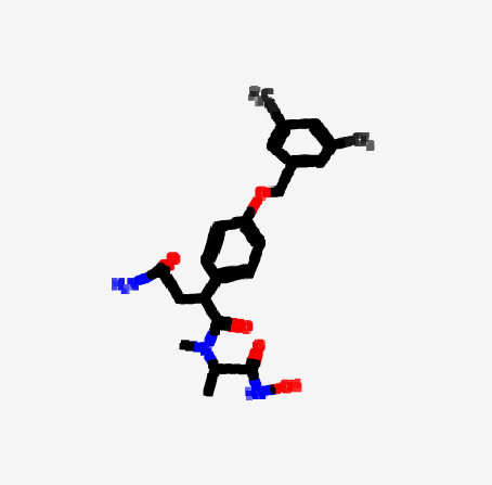 CC(C(=O)NO)N(C)C(=O)C(CC(N)=O)c1ccc(OCc2cc(C(F)(F)F)cc(C(F)(F)F)c2)cc1